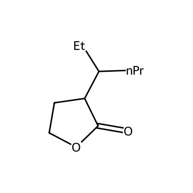 CCCC(CC)C1CCOC1=O